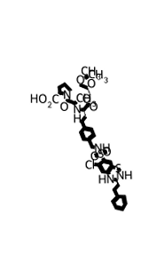 CC(N[C@@H](CCc1ccc(CNS(=O)(=O)c2cc3c(cc2Cl)N[C@H](CCc2ccccc2)NS3)cc1)C(=O)OC[C@@H]1COC(C)(C)O1)C(=O)N1CCCC1C(=O)O